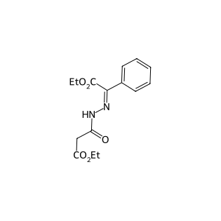 CCOC(=O)CC(=O)NN=C(C(=O)OCC)c1ccccc1